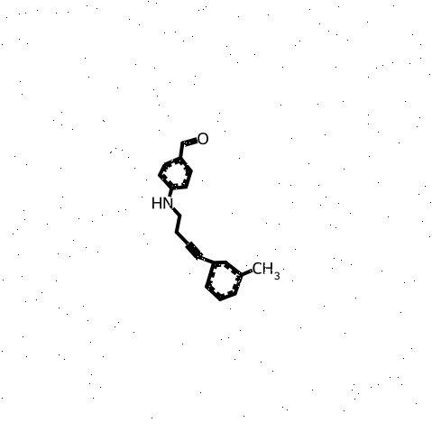 Cc1cccc(C#CCCNc2ccc(C=O)cc2)c1